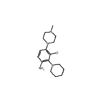 CN1CCN(c2ccc(N)c(N3CCCCC3)c2Cl)CC1